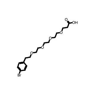 O=C(O)CCOCCOCCOCCOCCc1ccc(Br)cc1